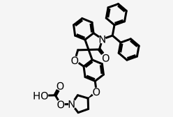 O=C(O)ON1CC[C@H](Oc2ccc3c(c2)OCC32C(=O)N(C(c3ccccc3)c3ccccc3)c3ccccc32)C1